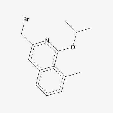 Cc1cccc2cc(CBr)nc(OC(C)C)c12